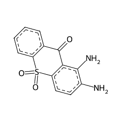 Nc1ccc2c(c1N)C(=O)c1ccccc1S2(=O)=O